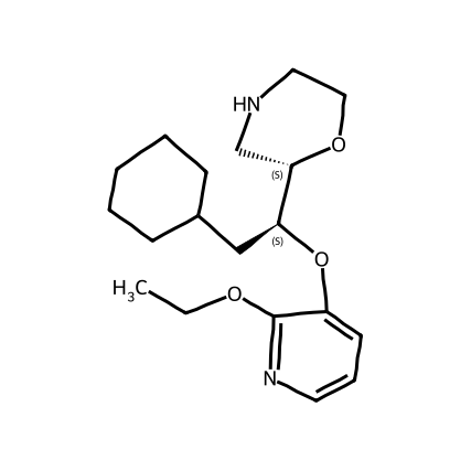 CCOc1ncccc1O[C@@H](CC1CCCCC1)[C@@H]1CNCCO1